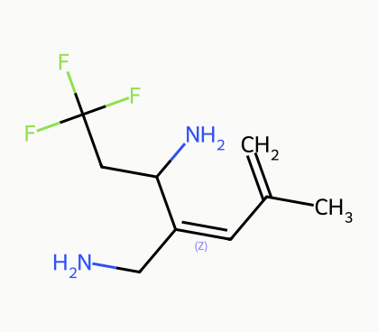 C=C(C)/C=C(/CN)C(N)CC(F)(F)F